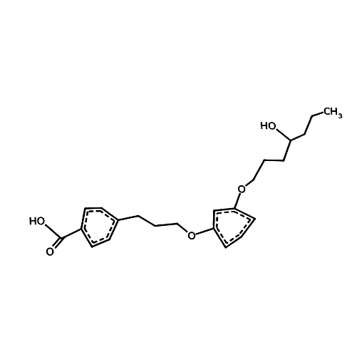 CCCC(O)CCCOc1cccc(OCCCc2ccc(C(=O)O)cc2)c1